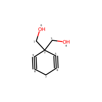 OCC1(CO)C#CCC#C1